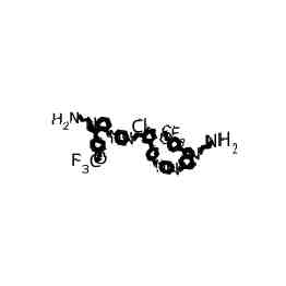 NCCCn1cc(-c2ccc(OC(F)(F)F)cc2)c2cc(CN3CCN(Cc4ccc(-c5ccc(Cl)c(CCN6CCN(Cc7cccc8c7c(-c7ccc(OC(F)(F)F)cc7)cn8CCCN)CC6)c5)cc4)CC3)ccc21